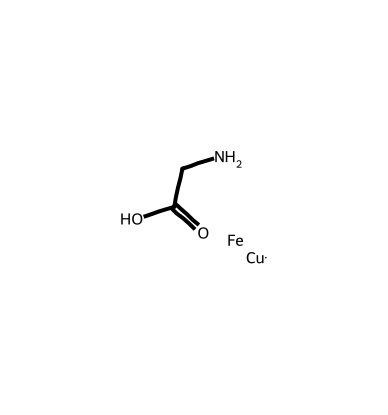 NCC(=O)O.[Cu].[Fe]